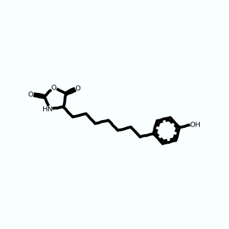 O=C1NC(CCCCCCCc2ccc(O)cc2)C(=O)O1